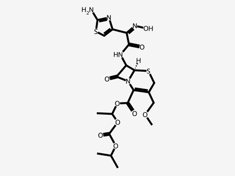 COCC1=C(C(=O)OC(C)OC(=O)OC(C)C)N2C(=O)C(NC(=O)/C(=N\O)c3csc(N)n3)[C@H]2SC1